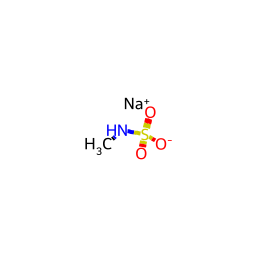 CNS(=O)(=O)[O-].[Na+]